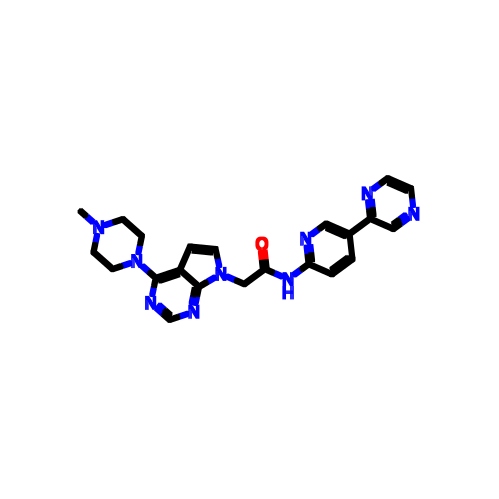 CN1CCN(c2ncnc3c2ccn3CC(=O)Nc2ccc(-c3cnccn3)cn2)CC1